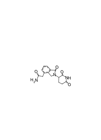 NC(=O)Cc1cccc2c1CN(C1CCC(=O)NC1=O)C2=O